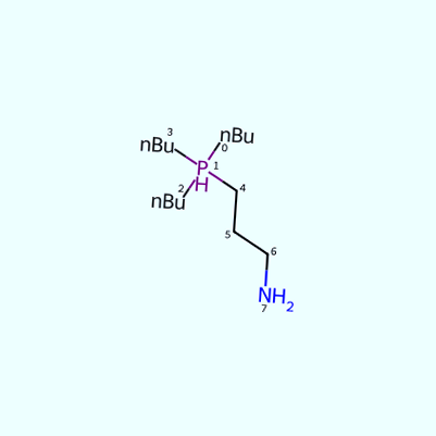 CCCC[PH](CCCC)(CCCC)CCCN